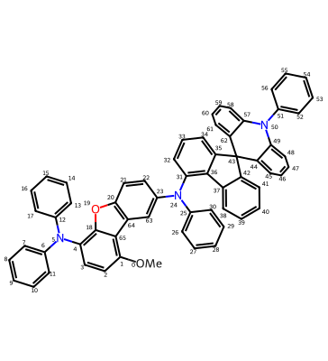 COc1ccc(N(c2ccccc2)c2ccccc2)c2oc3ccc(N(c4ccccc4)c4cccc5c4-c4ccccc4C54c5ccccc5N(c5ccccc5)c5ccccc54)cc3c12